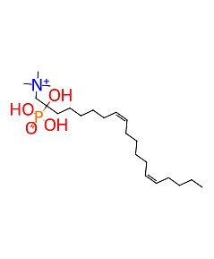 CCCC/C=C\CCCC/C=C\CCCCCC(O)(C[N+](C)(C)C)P(=O)(O)O